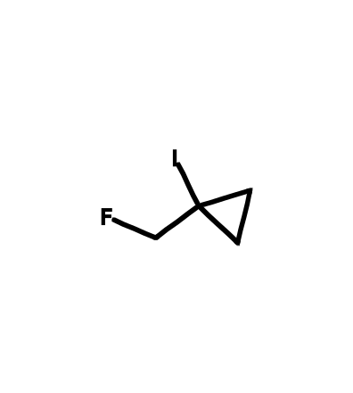 FCC1(I)CC1